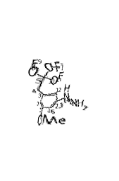 COc1cc(CC(OF)(OF)OF)cc(NN)c1